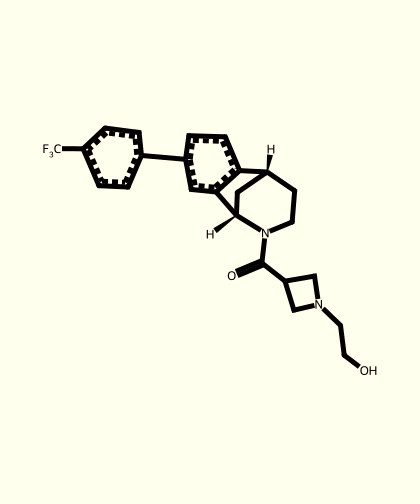 O=C(C1CN(CCO)C1)N1CC[C@@H]2C[C@H]1c1cc(-c3ccc(C(F)(F)F)cc3)ccc12